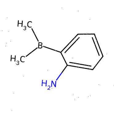 CB(C)c1ccccc1N